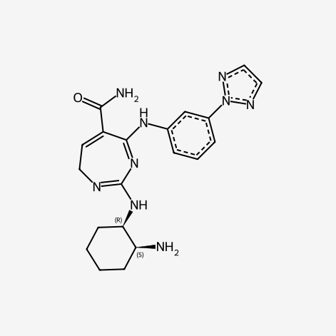 NC(=O)C1=CCN=C(N[C@@H]2CCCC[C@@H]2N)N=C1Nc1cccc(-n2nccn2)c1